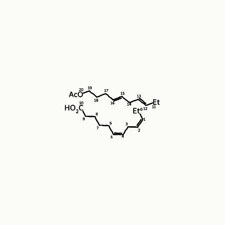 CC/C=C\C/C=C\CCCCC(=O)O.CCC=CCC=CCCCOC(C)=O